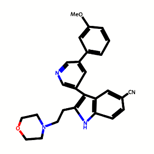 COc1cccc(-c2cncc(-c3c(CCN4CCOCC4)[nH]c4ccc(C#N)cc34)c2)c1